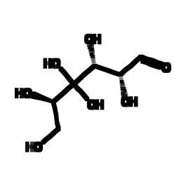 O=C[C@H](O)[C@@H](O)C(O)(O)[C@H](O)CO